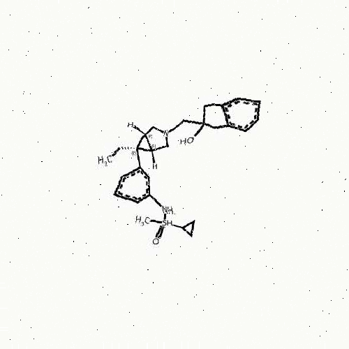 CC[C@]1(c2cccc(N[SH](C)(=O)C3CC3)c2)[C@@H]2CN(CC3(O)Cc4ccccc4C3)C[C@@H]21